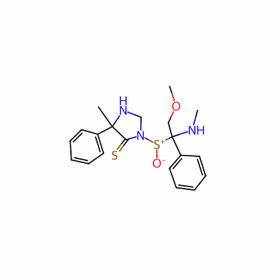 CNC(COC)(c1ccccc1)[S+]([O-])N1CNC(C)(c2ccccc2)C1=S